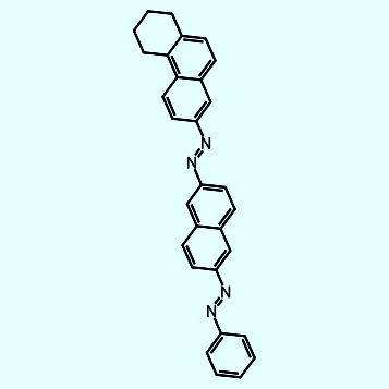 c1ccc(N=Nc2ccc3cc(N=Nc4ccc5c6c(ccc5c4)CCCC6)ccc3c2)cc1